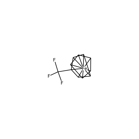 FC(F)(F)[C]12[CH]3[CH]4[CH]5[CH]1[Fe]45321678[CH]2[CH]1[CH]6[CH]7[CH]28